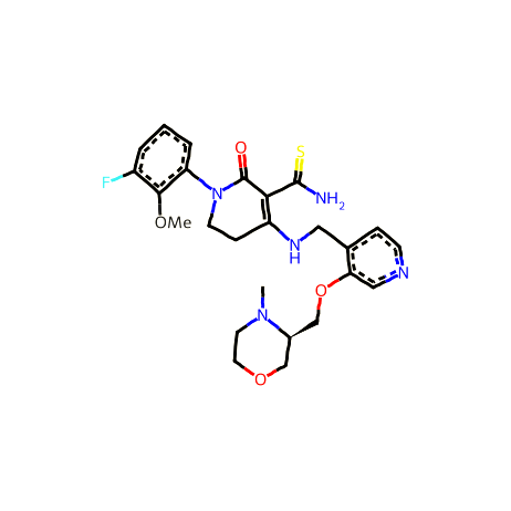 COc1c(F)cccc1N1CCC(NCc2ccncc2OC[C@H]2COCCN2C)=C(C(N)=S)C1=O